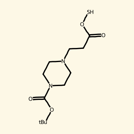 CC(C)(C)OC(=O)N1CCN(CCC(=O)OS)CC1